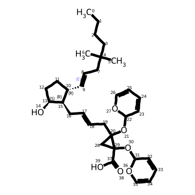 CCCCC(C)(C)C/C=C/[C@H]1CC[C@H](O)[C@@H]1CC=CCC1(OC2C=CC=CO2)CC1(OC1C=CC=CO1)C(=O)O